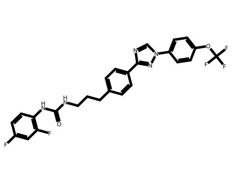 O=C(NCCCc1ccc(-c2ncn(-c3ccc(OC(F)(F)F)cc3)n2)cc1)Nc1ccc(F)cc1F